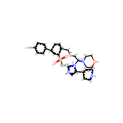 CS(=O)(=O)c1cc(-c2ccc(F)cc2)ccc1CSCC(N1CCOCC1)n1cncc1-c1ccncc1